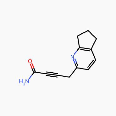 NC(=O)C#CCc1ccc2c(n1)CCC2